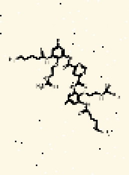 N=C(N)NCCSc1c(NC(=O)CCCCN)cc(F)cc1NC(=O)c1cc(C(=O)Nc2cc(F)cc(NC(=O)CCCCN)c2SCCNC(=N)N)ncn1